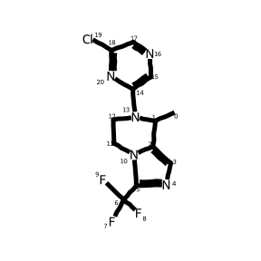 CC1c2cnc(C(F)(F)F)n2CCN1c1cncc(Cl)n1